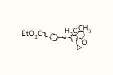 CCOC(=O)C=Cc1ccc(C#Cc2cc(C3CC3)c3c(c2)C(C)(C)CCC3=O)cc1